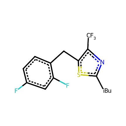 CCC(C)c1nc(C(F)(F)F)c(Cc2ccc(F)cc2F)s1